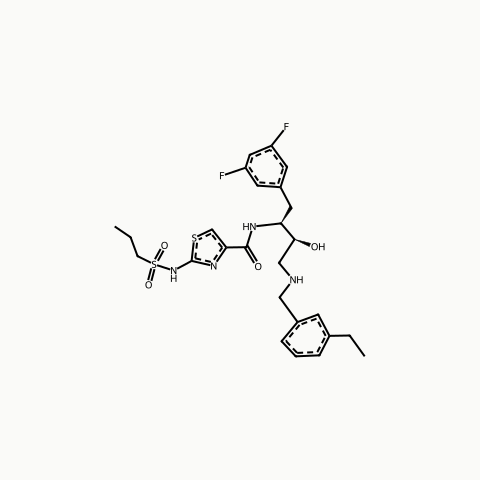 CCCS(=O)(=O)Nc1nc(C(=O)N[C@@H](Cc2cc(F)cc(F)c2)[C@@H](O)CNCc2cccc(CC)c2)cs1